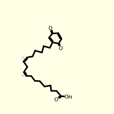 O=C1C=CC(=O)C(CCCCC/C=C\C/C=C\CCCCCCCC(=O)O)=C1